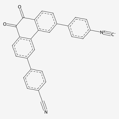 [C-]#[N+]c1ccc(-c2ccc3c(c2)-c2cc(-c4ccc(C#N)cc4)ccc2C(=O)C3=O)cc1